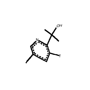 Cc1cnc(C(C)(C)O)c(F)c1